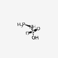 O=S(=O)(O)NP